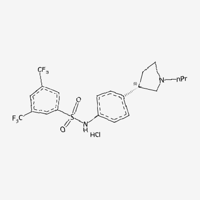 CCCN1CC[C@@H](c2ccc(NS(=O)(=O)c3cc(C(F)(F)F)cc(C(F)(F)F)c3)cc2)C1.Cl